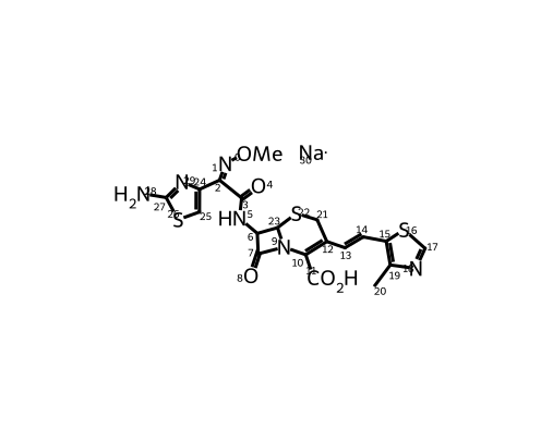 CO/N=C(\C(=O)NC1C(=O)N2C(C(=O)O)=C(/C=C/c3scnc3C)CSC12)c1csc(N)n1.[Na]